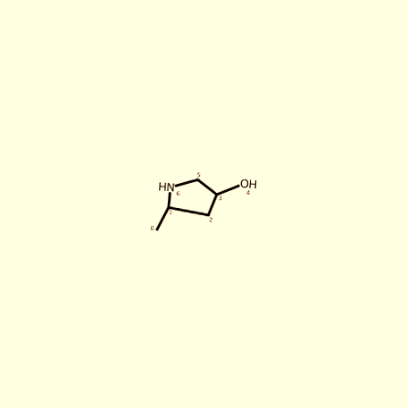 CC1CC(O)CN1